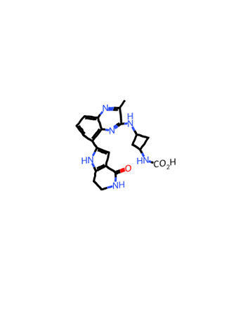 Cc1nc2cccc(-c3cc4c([nH]3)CCNC4=O)c2nc1NC1CC(NC(=O)O)C1